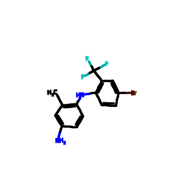 Cc1cc(N)ccc1Nc1ccc(Br)cc1C(F)(F)F